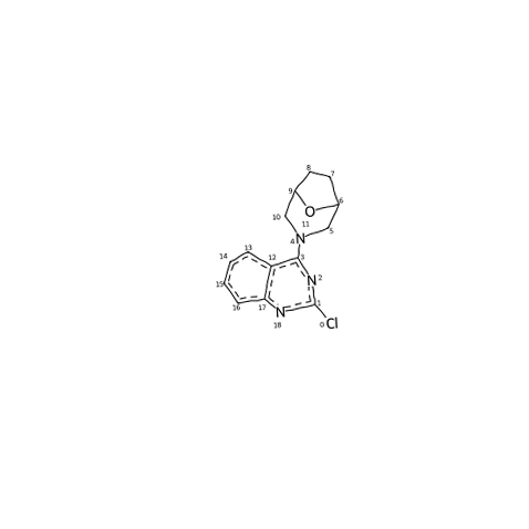 Clc1nc(N2CC3CCC(C2)O3)c2ccccc2n1